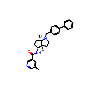 Cc1cncc(C(=O)N[C@H]2CC[C@@H]3[C@H]2CCN3Cc2ccc(-c3ccccc3)cc2)c1